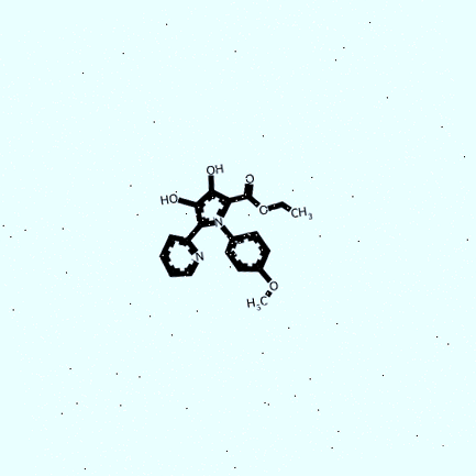 CCOC(=O)c1c(O)c(O)c(-c2ccccn2)n1-c1ccc(OC)cc1